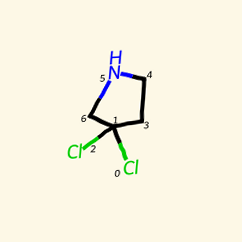 ClC1(Cl)CCNC1